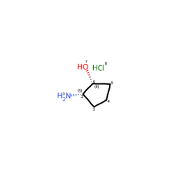 Cl.N[C@H]1CCC[C@H]1O